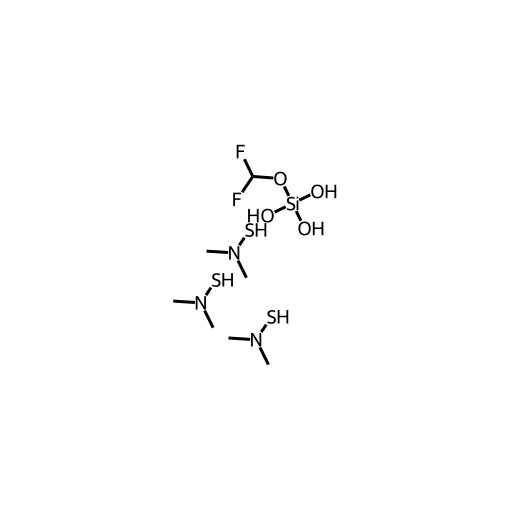 CN(C)S.CN(C)S.CN(C)S.O[Si](O)(O)OC(F)F